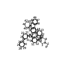 CCC1CC2CCCC(C1)C21c2ccccc2-c2c(N(c3cccc(-c4ccccc4)c3)c3ccc4c(c3)C3(CCCCC3)c3ccccc3-4)cccc21